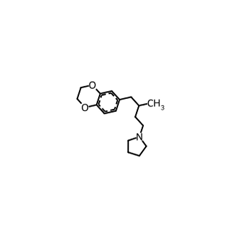 CC(CCN1CCCC1)Cc1ccc2c(c1)OCCO2